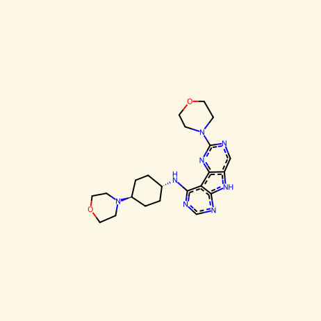 c1nc(N[C@H]2CC[C@H](N3CCOCC3)CC2)c2c(n1)[nH]c1cnc(N3CCOCC3)nc12